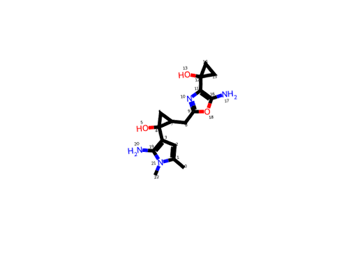 Cc1cc(C2(O)CC2Cc2nc(C3(O)CC3)c(N)o2)c(N)n1C